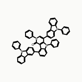 O=c1c2c3c(-c4ccc5c(c4)c4ccccc4n5-c4ccccc4)cccc3n(-c3ccccc3)c2c(-c2ccc3c(c2)c2ccccc2n3-c2ccccc2)cn1-c1ccccc1